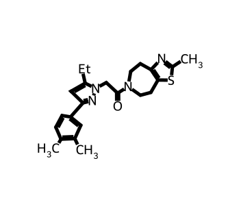 CCc1cc(-c2ccc(C)c(C)c2)nn1CC(=O)N1CCc2nc(C)sc2CC1